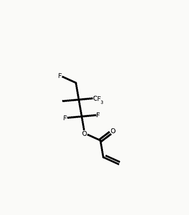 C=CC(=O)OC(F)(F)C(C)(CF)C(F)(F)F